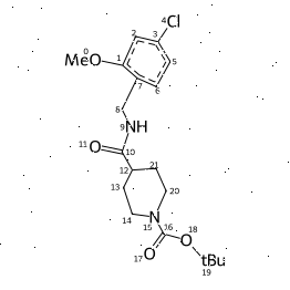 COc1cc(Cl)ccc1CNC(=O)C1CCN(C(=O)OC(C)(C)C)CC1